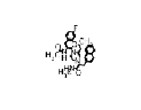 CCCC1CN(C(Cc2ccc3ccccc3c2)C(=O)NC)CCN1C(=O)C(Cc1ccc(F)cc1)NC(C)=O